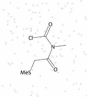 CSCC(=O)N(C)C(=O)Cl